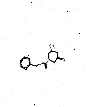 C[C@H]1CC(=O)C[C@H](C(=O)OCc2ccccc2)C1